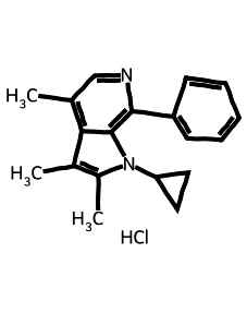 Cc1cnc(-c2ccccc2)c2c1c(C)c(C)n2C1CC1.Cl